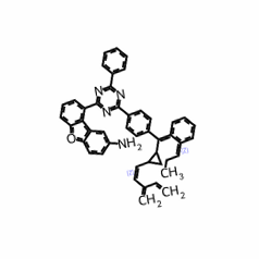 C=CC(=C)/C=C\C1CC1C(c1ccc(-c2nc(-c3ccccc3)nc(-c3cccc4oc5ccc(N)cc5c34)n2)cc1)=c1cccc/c1=C/CC